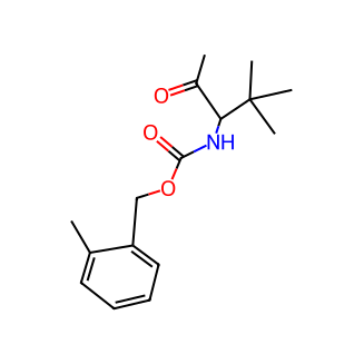 CC(=O)C(NC(=O)OCc1ccccc1C)C(C)(C)C